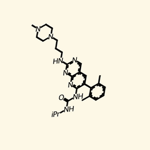 Cc1cccc(C)c1-c1cc2cnc(NCCCN3CCN(C)CC3)nc2nc1NC(=O)NC(C)C